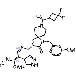 C=N/C(OC)=C(\C=N/CN1CC2(CCN(C(=O)C3CC(F)(F)C3)CC2)N(Cc2cccc(OC)c2)C1=O)C1C=NNC1